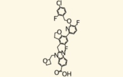 O=C(O)c1ccc2nc(Cc3c(F)cc(-c4ccc(F)c(OCc5ccc(Cl)cc5F)n4)c4c3CCO4)n(CC3CCO3)c2c1